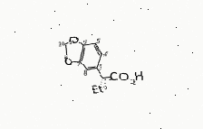 CC[C@@H](C(=O)O)c1ccc2c(c1)OCO2